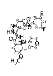 COc1ccc(C(=O)Nc2[nH]nc3c2CN(S(=O)(=O)c2cc(F)cc(F)c2)CC3)c(NC2CCOCC2)c1